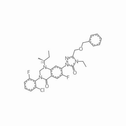 CC[C@H](C)N1CN(c2c(F)cccc2Cl)C(=O)c2cc(F)c(-n3nc(COCc4ccccc4)n(CC)c3=O)cc21